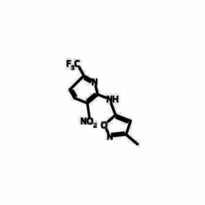 Cc1cc(Nc2nc(C(F)(F)F)ccc2[N+](=O)[O-])on1